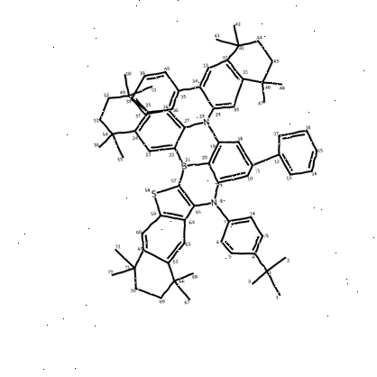 CC(C)(C)c1ccc(N2c3cc(-c4ccccc4)cc4c3B(c3cc5c(cc3N4c3cc4c(cc3-c3ccccc3)C(C)(C)CCC4(C)C)C(C)(C)CCC5(C)C)c3sc4cc5c(cc4c32)C(C)(C)CCC5(C)C)cc1